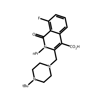 CCCn1c(CN2CCN(C(C)(C)C)CC2)c(C(=O)O)c2cccc(F)c2c1=O